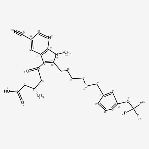 C[C@H](CC(=O)O)CC(=O)c1c(CCCCOCc2cccc(OC(F)(F)F)c2)n(C)c2ncc(C#N)cc12